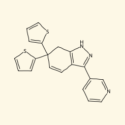 C1=CC(c2cccs2)(c2cccs2)Cc2[nH]nc(-c3cccnc3)c21